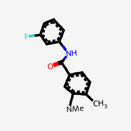 CNc1cc(C(=O)Nc2cccc(F)c2)ccc1C